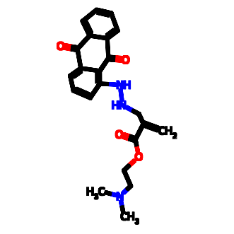 C=C(CNNc1cccc2c1C(=O)c1ccccc1C2=O)C(=O)OCCN(C)C